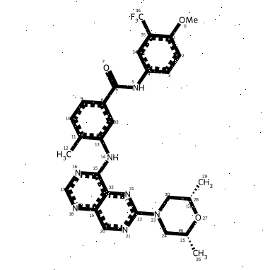 COc1ccc(NC(=O)c2ccc(C)c(Nc3ncnc4cnc(N5C[C@@H](C)O[C@@H](C)C5)nc34)c2)cc1C(F)(F)F